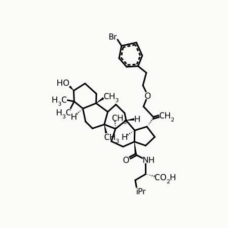 C=C(COCCc1ccc(Br)cc1)[C@@H]1CC[C@]2(C(=O)N[C@@H](CC(C)C)C(=O)O)CC[C@]3(C)[C@H](CCC4[C@@]5(C)CC[C@H](O)C(C)(C)[C@@H]5CC[C@]43C)[C@@H]12